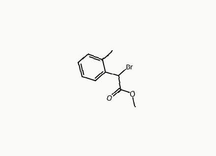 COC(=O)C(Br)c1ccccc1C